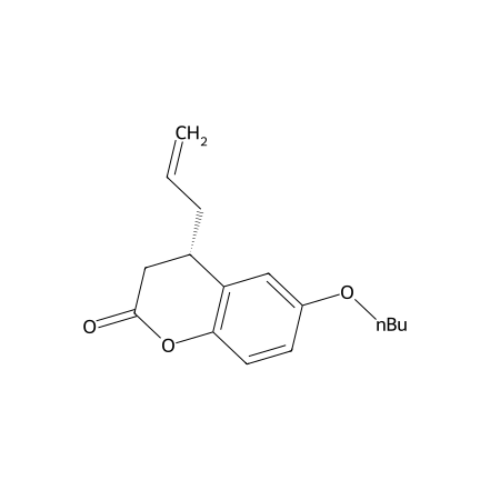 C=CC[C@H]1CC(=O)Oc2ccc(OCCCC)cc21